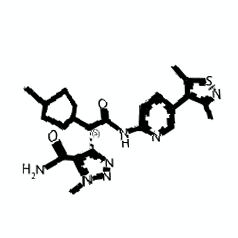 Cc1nsc(C)c1-c1ccc(NC(=O)[C@H](c2nnn(C)c2C(N)=O)C2CCC(C)CC2)nc1